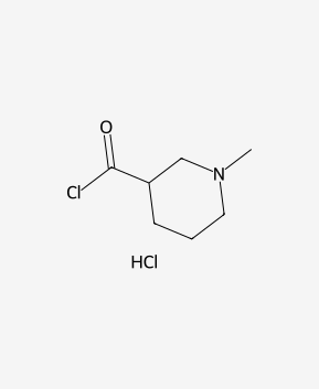 CN1CCCC(C(=O)Cl)C1.Cl